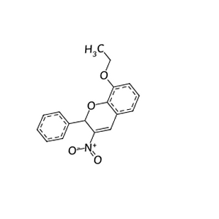 CCOc1cccc2c1OC(c1ccccc1)C([N+](=O)[O-])=C2